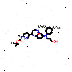 C=C1N=CCC(c2ccc(N(C)C(=O)OC(C)(C)CC)nc2)=NC1/C=C\C(=C/C)N(CCCO)C1C=CC(OC)=CC(OC)=C1